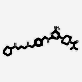 CN(C)C(=O)N1CCN(c2cc(N)nc(NCc3ccc(CNCCCNC4CCCCC4)cc3)n2)CC1